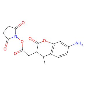 CC1c2ccc(N)cc2OC(=O)C1CC(=O)ON1C(=O)CCC1=O